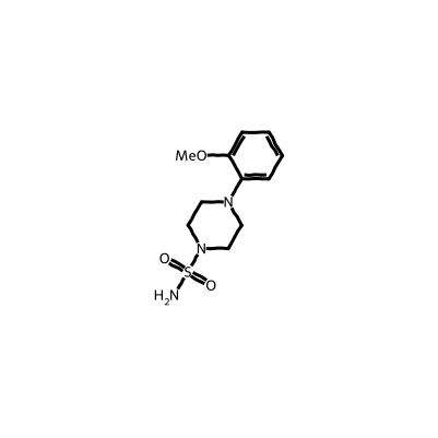 COc1ccccc1N1CCN(S(N)(=O)=O)CC1